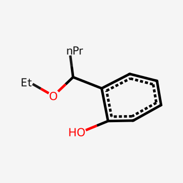 CCCC(OCC)c1ccccc1O